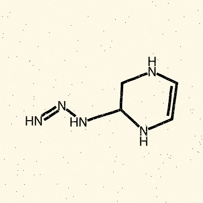 N=NNC1CNC=CN1